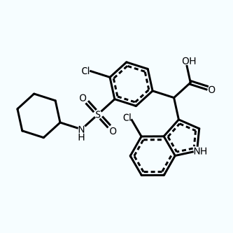 O=C(O)C(c1ccc(Cl)c(S(=O)(=O)NC2CCCCC2)c1)c1c[nH]c2cccc(Cl)c12